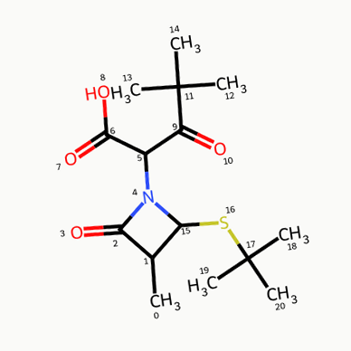 CC1C(=O)N(C(C(=O)O)C(=O)C(C)(C)C)C1SC(C)(C)C